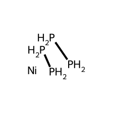 PP.PP.[Ni]